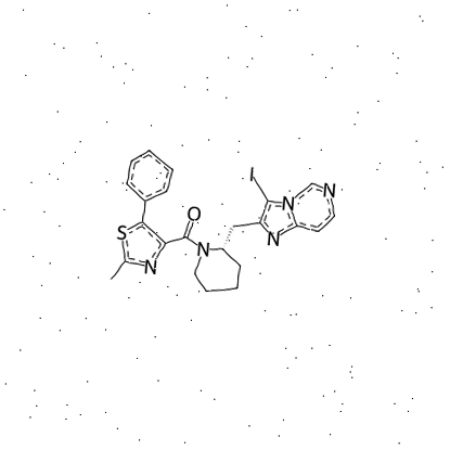 Cc1nc(C(=O)N2CCCC[C@H]2Cc2nc3ccncn3c2I)c(-c2ccccc2)s1